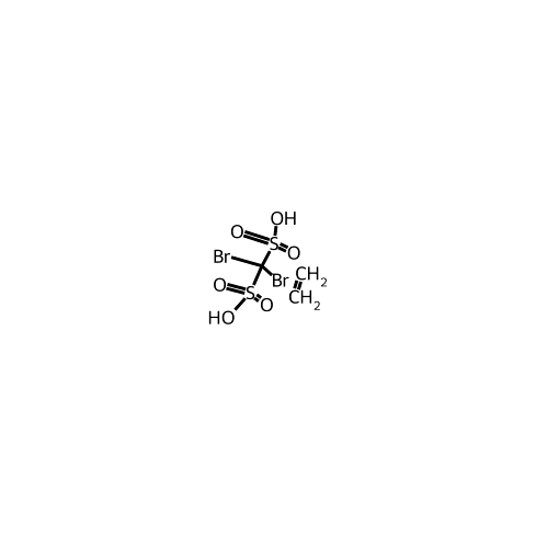 C=C.O=S(=O)(O)C(Br)(Br)S(=O)(=O)O